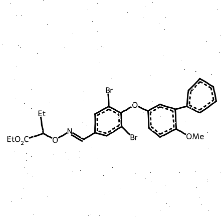 CCOC(=O)C(CC)ON=Cc1cc(Br)c(Oc2ccc(OC)c(-c3ccccc3)c2)c(Br)c1